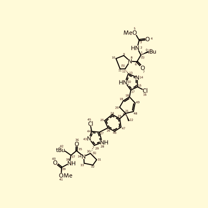 CCC(C)[C@H](NC(=O)OC)C(=O)N1CCC[C@H]1c1nc(Cl)c(C2=CC[C@@](C)(c3ccc(-c4[nH]c([C@@H]5CCCN5C(=O)C(NC(=O)OC)C(C)(C)C)nc4Cl)cc3)C=C2)[nH]1